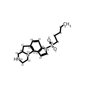 CCCCCS(=O)(=O)n1ccc2c3c(ccc21)CC1CNCCN31